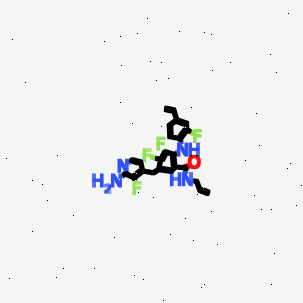 C=CCNC(=O)c1cc(Cc2ccnc(N)c2F)c(F)c(F)c1Nc1ccc(C=C)cc1F